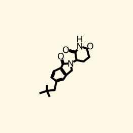 CC(C)(C)Cc1ccc2c(c1)CN(C1CCC(=O)NC1=O)C2=O